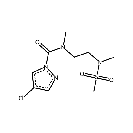 CN(CCN(C)S(C)(=O)=O)C(=O)n1cc(Cl)cn1